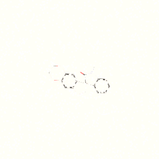 CN1C(=O)[C@@]2(COc3cc4c(cc32)OCCO4)c2ccccc21